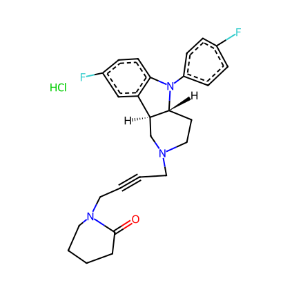 Cl.O=C1CCCCN1CC#CCN1CC[C@@H]2[C@@H](C1)c1cc(F)ccc1N2c1ccc(F)cc1